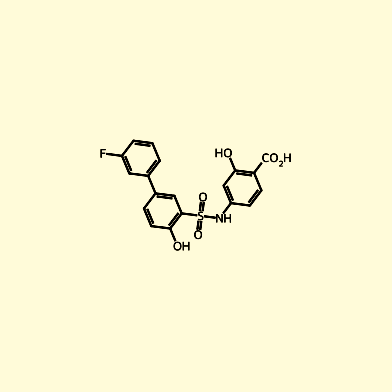 O=C(O)c1ccc(NS(=O)(=O)c2cc(-c3cccc(F)c3)ccc2O)cc1O